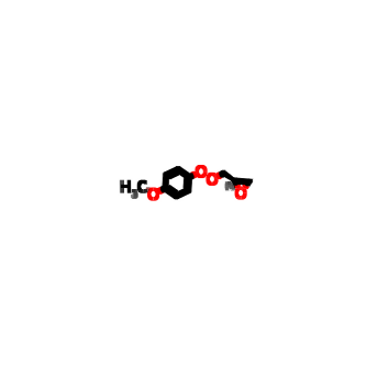 COc1ccc(OOC[C@H]2CO2)cc1